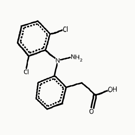 NN(c1ccccc1CC(=O)O)c1c(Cl)cccc1Cl